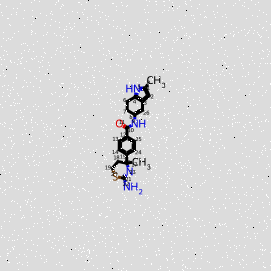 Cc1cc2c([nH]1)CCC(NC(=O)c1ccc(C3(C)CCSC(N)=N3)cc1)=C2